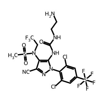 CS(=O)(=O)N(CC(F)(F)F)c1c(C#N)nn(-c2c(Cl)cc(S(F)(F)(F)(F)F)cc2Cl)c1NC(=O)NCCN